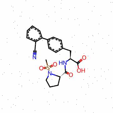 CS(=O)(=O)N1CCC[C@H]1C(=O)N[C@@H](Cc1ccc(-c2ccccc2C#N)cc1)C(=O)O